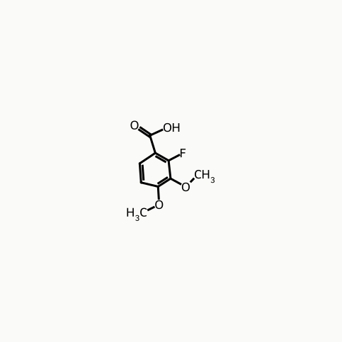 COc1ccc(C(=O)O)c(F)c1OC